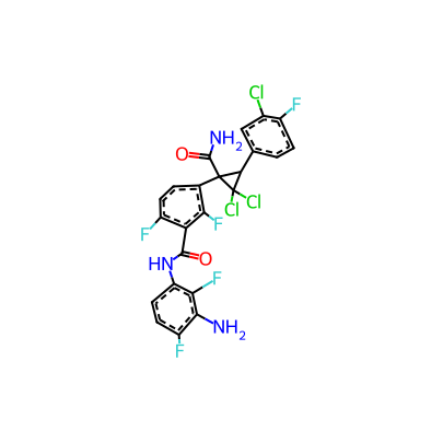 NC(=O)C1(c2ccc(F)c(C(=O)Nc3ccc(F)c(N)c3F)c2F)C(c2ccc(F)c(Cl)c2)C1(Cl)Cl